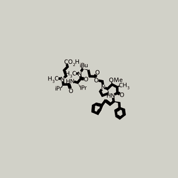 CC[C@H](C)[C@H](CCC(=O)OCN1CCC[C@H]1[C@H](OC)[C@@H](C)C(=O)N[C@H](/C=C/c1ccccc1)Cc1ccccc1)N(C)C(=O)[C@@H](NC(=O)[C@H](C(C)C)N(C)CCCC(=O)O)C(C)C